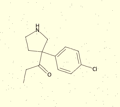 CCC(=O)C1(c2ccc(Cl)cc2)CCNC1